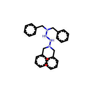 c1ccc(CN(Cc2ccccc2)NNN(Cc2ccccc2)Cc2ccccc2)cc1